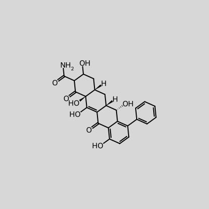 NC(=O)C1C(=O)[C@@]2(O)C(O)=C3C(=O)c4c(O)ccc(-c5ccccc5)c4[C@@H](O)[C@H]3C[C@H]2CC1O